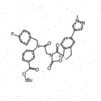 Cn1cc(-c2ccc3c(c2)CC[C@@]32OC(=O)N(CC(=O)N(Cc3ccc(F)cc3)c3cccc(C(=O)OC(C)(C)C)c3)C2=O)cn1